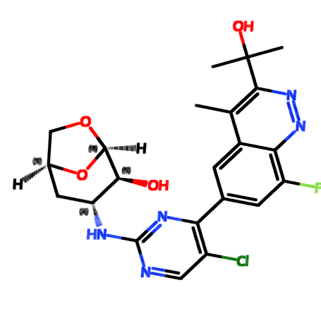 Cc1c(C(C)(C)O)nnc2c(F)cc(-c3nc(N[C@@H]4C[C@H]5CO[C@H](O5)[C@H]4O)ncc3Cl)cc12